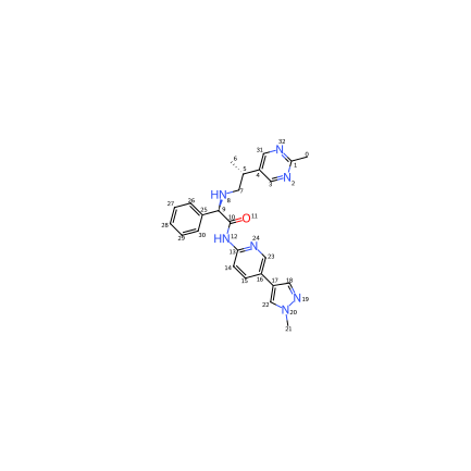 Cc1ncc([C@@H](C)CN[C@@H](C(=O)Nc2ccc(-c3cnn(C)c3)cn2)c2ccccc2)cn1